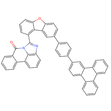 O=c1c2ccccc2c2cccc3nc(-c4cccc5oc6ccc(-c7ccc(-c8ccc9c%10ccccc%10c%10ccccc%10c9c8)cc7)cc6c45)n1c32